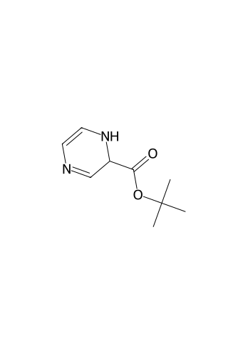 CC(C)(C)OC(=O)C1C=NC=CN1